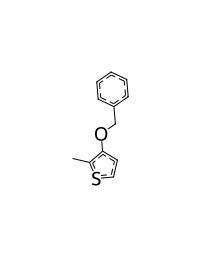 Cc1sccc1OCc1ccccc1